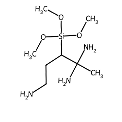 CO[Si](OC)(OC)C(CCN)C(C)(N)N